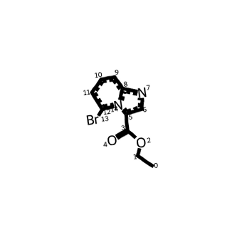 CCOC(=O)c1cnc2cccc(Br)n12